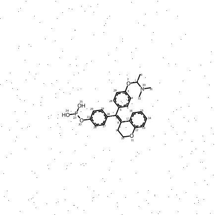 CC(Oc1ccc(/C(=C2/CCOc3ccccc32)c2ccc(OP(O)O)cc2)cc1)N(C)C